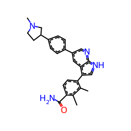 Cc1c(C(N)=O)ccc(-c2c[nH]c3ncc(-c4ccc(C5CCN(C)C5)cc4)cc23)c1C